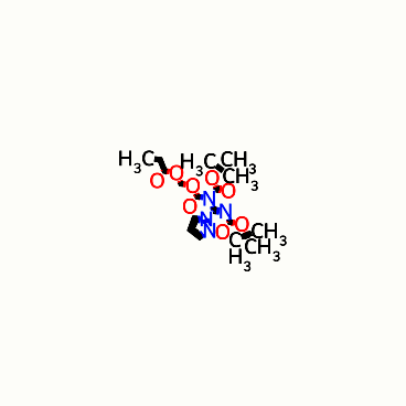 CCC(=O)OCOC(=O)N(C(=O)OC(C)(C)C)C(=NC(=O)OC(C)(C)C)n1cccn1